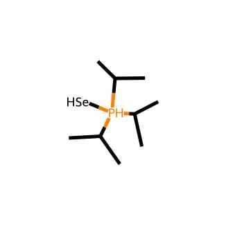 CC(C)[PH]([SeH])(C(C)C)C(C)C